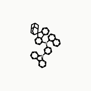 c1cc(N(c2cccc3c2-c2ccccc2C32C3CC4CC(C3)CC2C4)c2cccc3ccccc23)cc(-n2c3ccccc3c3ccccc32)c1